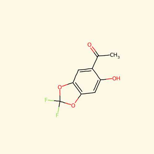 CC(=O)c1cc2c(cc1O)OC(F)(F)O2